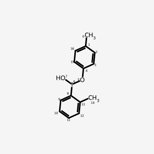 Cc1ccc(OI(O)c2ccccc2C)cc1